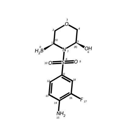 B[C@H]1COC[C@@H](O)N1S(=O)(=O)c1ccc(N)c(F)c1